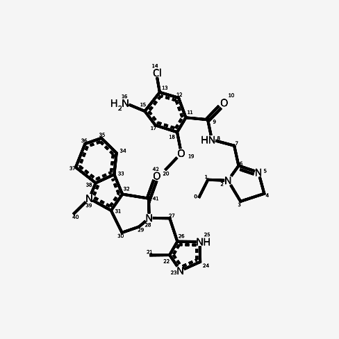 CCN1CCN=C1CNC(=O)c1cc(Cl)c(N)cc1OC.Cc1nc[nH]c1CN1CCc2c(c3ccccc3n2C)C1=O